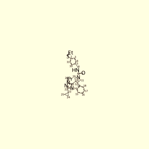 CCSc1ccc(CNC(=O)N2CC(c3ccccc3)C(c3nc(C4CC4)nn3C(C)C)C2)cc1